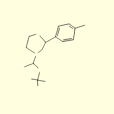 CC(C)(C)OC(O)N1CCOC(c2ccc(N)cc2)C1